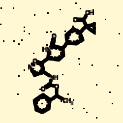 CC(OC(=O)Nc1cnoc1-c1ccc(-c2ccc(C3(C(=O)O)CC3)cc2)c(=O)[nH]1)c1ccccc1